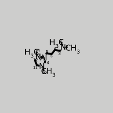 CN(C)CCC[CH2][Al]1[CH2]N(C)CC[N]1C